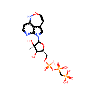 BP(=O)(OC[C@H]1OC(n2cc3c4c(ccnc42)NOC=C3)[C@](C)(O)[C@@H]1O)OP(=O)(O)CP(=O)(O)O